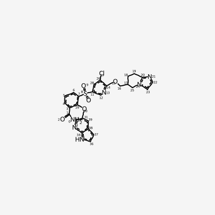 NC(=O)c1cccc(S(=O)(=O)c2cnc(OCC3CCc4nccn4C3)c(Cl)c2)c1Oc1cnc2[nH]ccc2c1